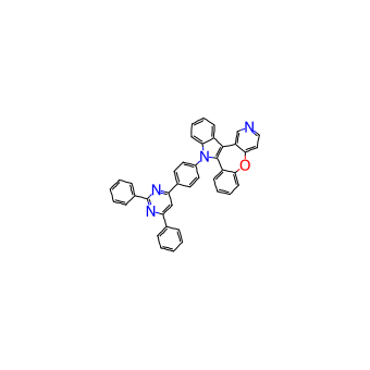 c1ccc(-c2cc(-c3ccc(-n4c5c(c6ccccc64)-c4cnccc4Oc4ccccc4-5)cc3)nc(-c3ccccc3)n2)cc1